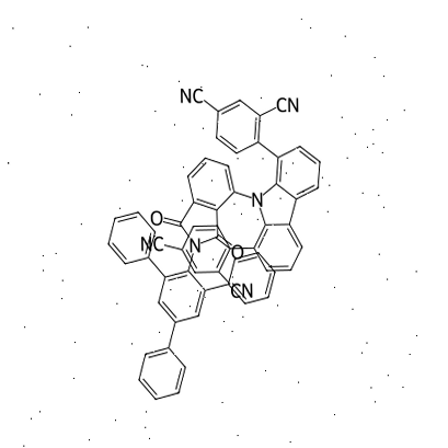 N#Cc1ccc(-c2cccc3c4cccc(-c5ccc(C#N)cc5C#N)c4n(-c4cccc5c4C(=O)N(c4c(-c6ccccc6)cc(-c6ccccc6)cc4-c4ccccc4)C5=O)c23)c(C#N)c1